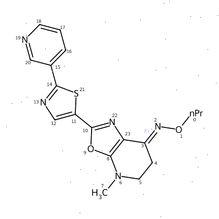 CCCO/N=C1\CCN(C)c2oc(-c3cnc(-c4cccnc4)s3)nc21